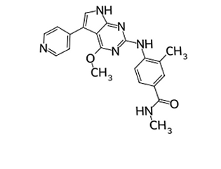 CNC(=O)c1ccc(Nc2nc(OC)c3c(-c4ccncc4)c[nH]c3n2)c(C)c1